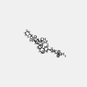 CC(C)n1nc(NC(=O)OCC2C=CC=CC2)nc1-c1nc2c(s1)CCOc1cc(C3CN(CCS(C)(=O)=O)C3)ccc1-2